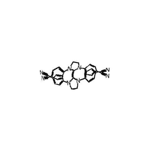 N#Cc1ccc(N2CCN(c3ccc(C#N)cc3)C2=C2N(c3ccc(C#N)cc3)CCN2c2ccc(C#N)cc2)cc1